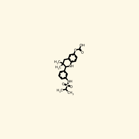 CC(C)S(=O)(=O)Nc1cccc(C2Nc3ccc(OC(=O)O)cc3CC2(C)C)c1